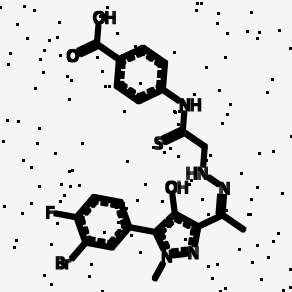 CC(=NNCC(=S)Nc1ccc(C(=O)O)cc1)c1nn(C)c(-c2ccc(F)c(Br)c2)c1O